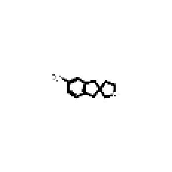 O=[N+]([O-])c1ccc2c(c1)CC1(CCNC1)C2